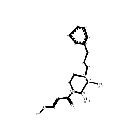 CCO/C=C/C(=O)N1CCN(CCCc2ccccc2)[C@@H](C)[C@@H]1C